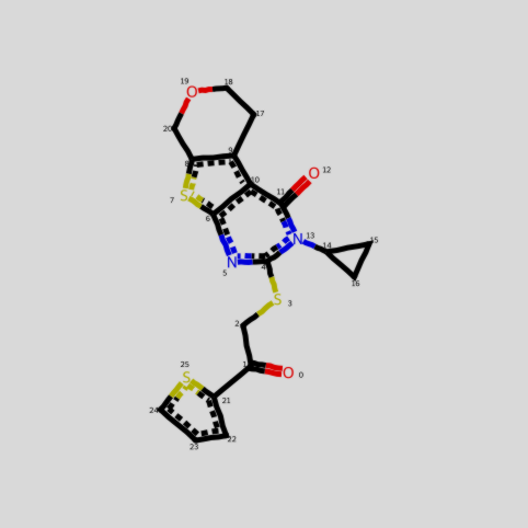 O=C(CSc1nc2sc3c(c2c(=O)n1C1CC1)CCOC3)c1cccs1